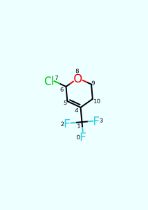 FC(F)(F)C1=CC(Cl)OCC1